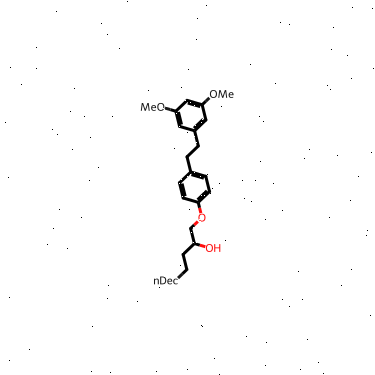 CCCCCCCCCCCCC(O)COc1ccc(CCc2cc(OC)cc(OC)c2)cc1